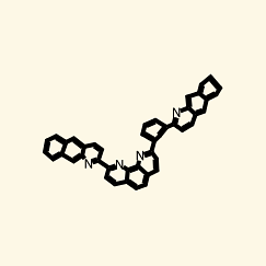 c1cc(-c2ccc3cc4ccccc4cc3n2)cc(-c2ccc3ccc4ccc(-c5ccc6cc7ccccc7cc6n5)nc4c3n2)c1